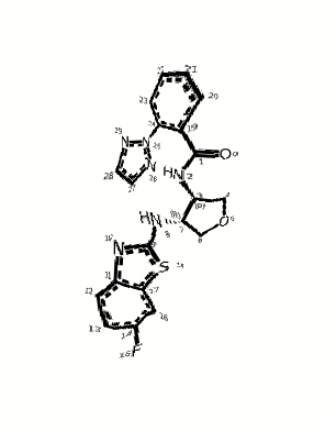 O=C(N[C@H]1COC[C@@H]1Nc1nc2ccc(F)cc2s1)c1ccccc1-n1nccn1